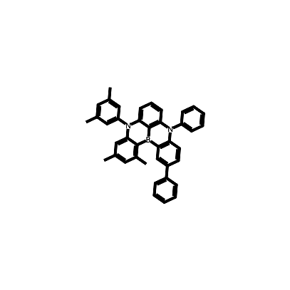 Cc1cc(C)cc(N2c3cc(C)cc(C)c3B3c4cc(-c5ccccc5)ccc4N(c4ccccc4)c4cccc2c43)c1